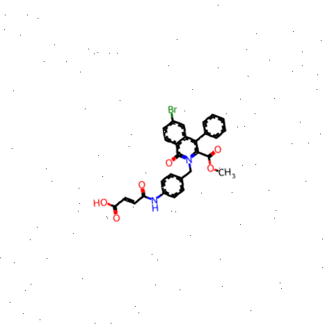 COC(=O)c1c(-c2ccccc2)c2cc(Br)ccc2c(=O)n1Cc1ccc(NC(=O)C=CC(=O)O)cc1